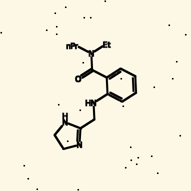 CCCN(CC)C(=O)c1ccccc1NCC1=NCCN1